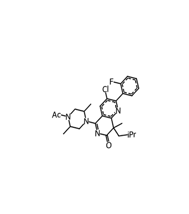 CC(=O)N1CC(C)N(C2=NC(=O)C(C)(CC(C)C)c3nc(-c4ccccc4F)c(Cl)cc32)CC1C